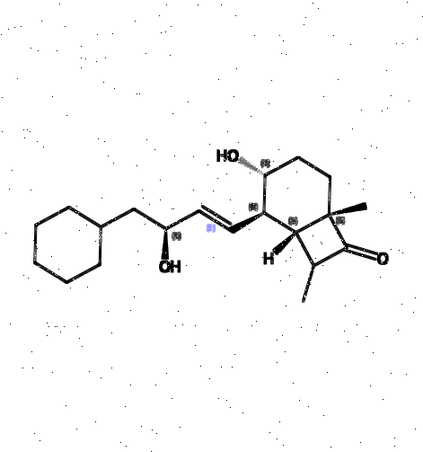 CC1C(=O)[C@@]2(C)CC[C@@H](O)[C@H](/C=C/[C@@H](O)CC3CCCCC3)[C@@H]12